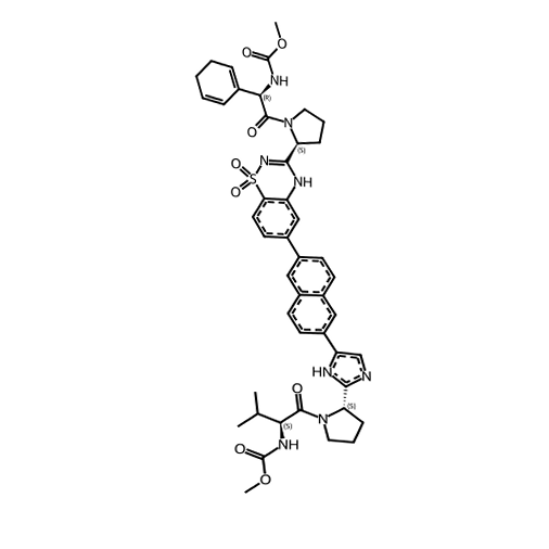 COC(=O)N[C@@H](C(=O)N1CCC[C@H]1C1=NS(=O)(=O)c2ccc(-c3ccc4cc(-c5cnc([C@@H]6CCCN6C(=O)[C@@H](NC(=O)OC)C(C)C)[nH]5)ccc4c3)cc2N1)C1=CCCC=C1